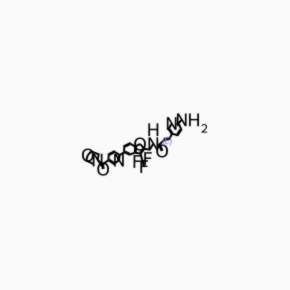 Nc1ccc(/C=C/C(=O)NCc2oc3ccc(-c4ccc(C(=O)N5CCOCC5)cn4)cc3c2C(F)(F)F)cn1